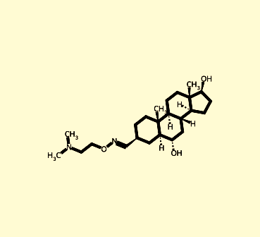 CN(C)CCO/N=C/[C@H]1CC[C@@]2(C)[C@H](C1)[C@@H](O)C[C@@H]1[C@@H]2CC[C@]2(C)[C@@H](O)CC[C@@H]12